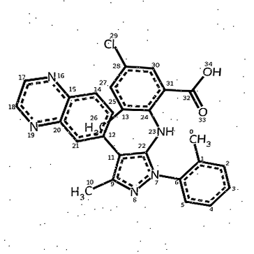 Cc1ccccc1-n1nc(C)c(-c2ccc3nccnc3c2)c1Nc1c(C)cc(Cl)cc1C(=O)O